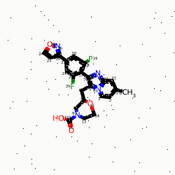 Cc1ccn2c(CC3CN(C(=O)O)CCO3)c(-c3c(F)cc(-c4ccon4)cc3F)nc2c1